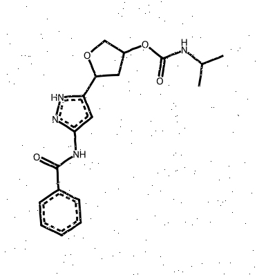 CC(C)NC(=O)OC1COC(c2cc(NC(=O)c3ccccc3)n[nH]2)C1